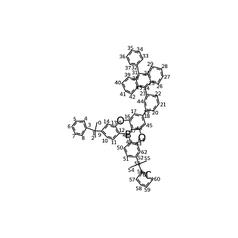 CC(C)(c1ccccc1)c1ccc2c(c1)Oc1cc(-c3cccc(-c4c5ccccc5c(-c5ccccc5)c5ccccc45)c3)cc3c1B2c1ccc(C(C)(C)c2ccccc2)cc1O3